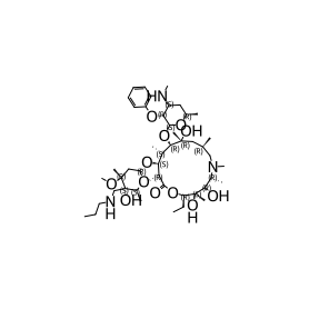 CCCNC[C@]1(O)[C@H](C)O[C@@H](O[C@H]2[C@H](C)[C@@H](O[C@@H]3O[C@H](C)C[C@H](NC)[C@H]3Oc3ccccc3)[C@](C)(O)C[C@@H](C)CN(C)[C@H](C)[C@@H](O)[C@](C)(O)[C@@H](CC)OC(=O)[C@@H]2C)C[C@@]1(C)OC